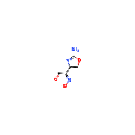 Nc1nc(C([C]=O)=NO)co1